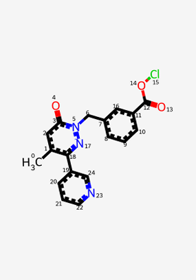 Cc1cc(=O)n(Cc2cccc(C(=O)OCl)c2)nc1-c1cccnc1